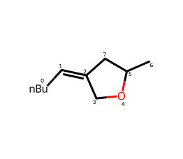 CCCC/C=C1\COC(C)C1